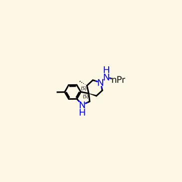 CCCNN1CC[C@]2(CNc3cc(C)ccc32)[C@H](C)C1